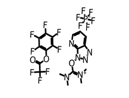 CN(C)C(On1nnc2cccnc21)=[N+](C)C.F[P-](F)(F)(F)(F)F.O=C(Oc1c(F)c(F)c(F)c(F)c1F)C(F)(F)F